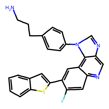 NCCCc1ccc(-n2cnc3cnc4cc(F)c(-c5cc6ccccc6s5)cc4c32)cc1